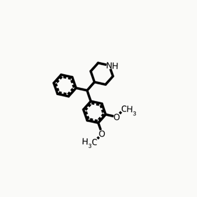 COc1ccc(C(c2ccccc2)C2CCNCC2)cc1OC